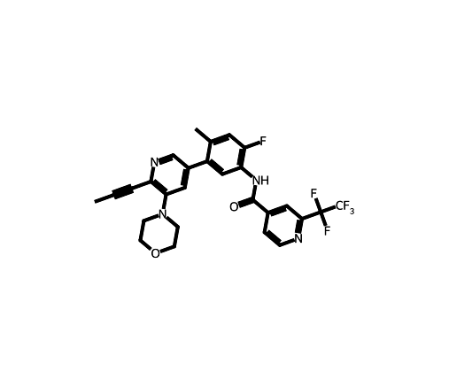 CC#Cc1ncc(-c2cc(NC(=O)c3ccnc(C(F)(F)C(F)(F)F)c3)c(F)cc2C)cc1N1CCOCC1